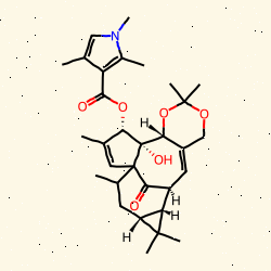 CC1=CC23C(=O)[C@@H](C=C4COC(C)(C)O[C@H]4[C@]2(O)[C@H]1OC(=O)c1c(C)cn(C)c1C)[C@H]1[C@@H](CC3C)C1(C)C